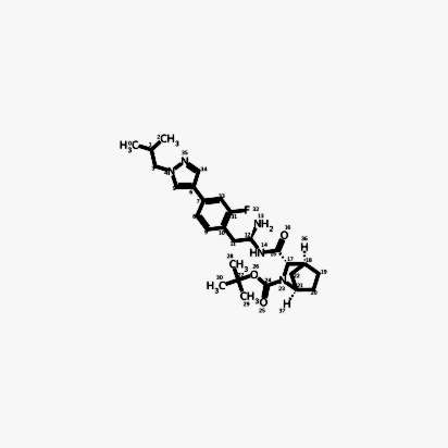 CC(C)Cn1cc(-c2ccc(C[C@@H](N)NC(=O)[C@@H]3[C@H]4CC[C@H](C4)N3C(=O)OC(C)(C)C)c(F)c2)cn1